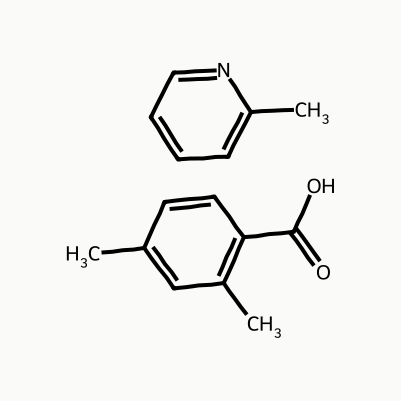 Cc1ccc(C(=O)O)c(C)c1.Cc1ccccn1